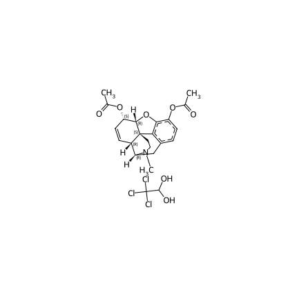 CC(=O)Oc1ccc2c3c1O[C@H]1[C@@H](OC(C)=O)C=C[C@H]4[C@@H](C2)N(C)CC[C@@]341.OC(O)C(Cl)(Cl)Cl